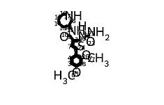 COc1ccc(-c2cc(C(=O)N[C@H]3CCCCNC3)c(NC(N)=O)s2)c(OC)c1